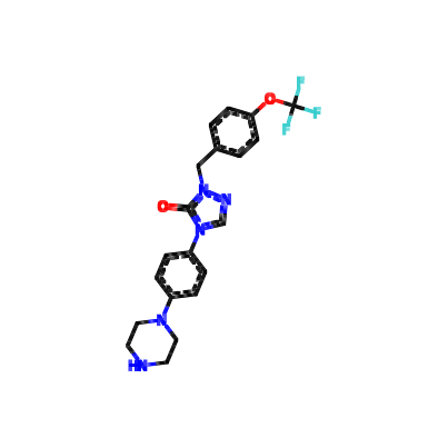 O=c1n(-c2ccc(N3CCNCC3)cc2)cnn1Cc1ccc(OC(F)(F)F)cc1